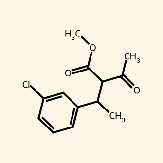 COC(=O)C(C(C)=O)C(C)c1cccc(Cl)c1